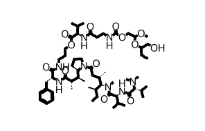 CCC(CO)OC(COC(=O)NCCC(=O)N[C@@H](C(=O)OCCCNC(=O)[C@@H](Cc1ccccc1)NC(=O)[C@@H](C)[C@H](C)[C@H]1CCCN1C(=O)C[C@H](C)[C@@H]([C@H](C)CC)N(C)C(=O)[C@H](NC(=O)[C@@H](C(C)C)N(C)C)C(C)C)C(C)C)OC